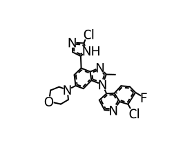 Cc1nc2c(-c3cnc(Cl)[nH]3)cc(N3CCOCC3)cc2n1-c1ccnc2c(Cl)c(F)ccc12